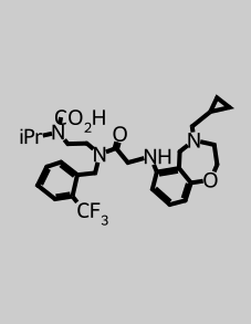 CC(C)N(CCN(Cc1ccccc1C(F)(F)F)C(=O)CNc1cccc2c1CN(CC1CC1)CCO2)C(=O)O